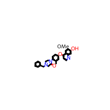 COc1cc2c(Oc3ccc(N4CCN(Cc5ccccc5)CC4=O)c(C)c3)ccnc2cc1O